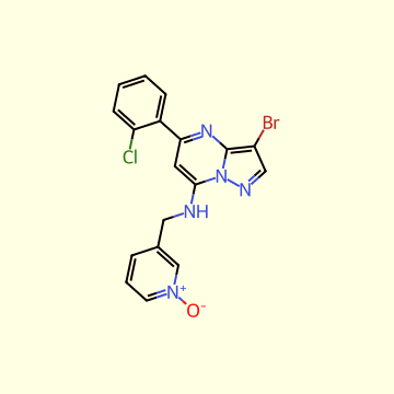 [O-][n+]1cccc(CNc2cc(-c3ccccc3Cl)nc3c(Br)cnn23)c1